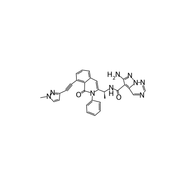 C[C@H](NC(=O)c1c(N)nn2ncncc12)c1cc2cccc(C#Cc3ccn(C)n3)c2c(=O)n1-c1ccccc1